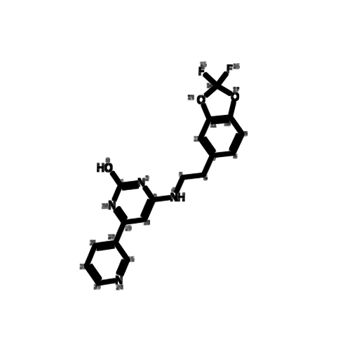 Oc1nc(NCCc2ccc3c(c2)OC(F)(F)O3)cc(-c2cccnc2)n1